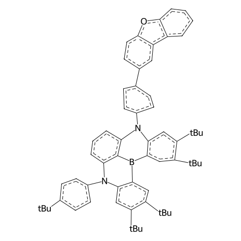 CC(C)(C)c1ccc(N2c3cc(C(C)(C)C)c(C(C)(C)C)cc3B3c4cc(C(C)(C)C)c(C(C)(C)C)cc4N(c4ccc(-c5ccc6oc7ccccc7c6c5)cc4)c4cccc2c43)cc1